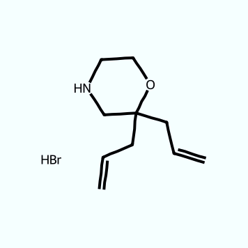 Br.C=CCC1(CC=C)CNCCO1